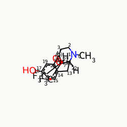 CN1CC[C@]23COC(C(F)(F)F)(C(F)(F)F)O[C@H]2[C@H]1Cc1ccc(O)cc13